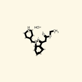 CCOC(=O)Cc1nn(CC2CCNCC2)c2ccccc12.Cl